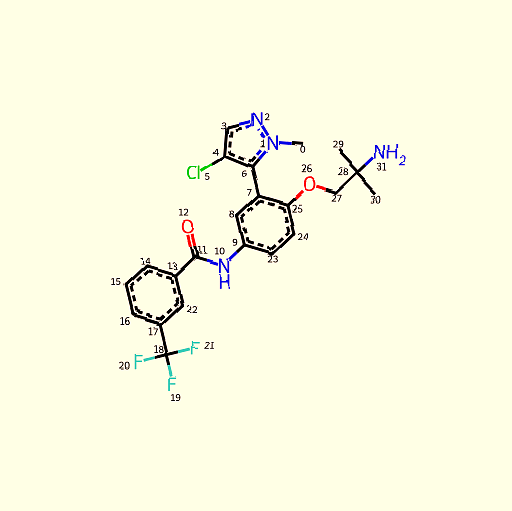 Cn1ncc(Cl)c1-c1cc(NC(=O)c2cccc(C(F)(F)F)c2)ccc1OCC(C)(C)N